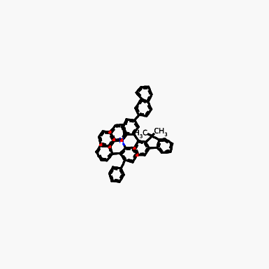 CC1(C)c2ccccc2-c2cccc(-c3cc(-c4ccc5ccccc5c4)ccc3N(c3ccccc3)c3cccc(-c4ccccc4)c3-c3ccccc3-c3ccccc3)c21